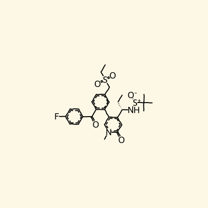 CC[C@H](N[S@@+]([O-])C(C)(C)C)c1cc(=O)n(C)cc1-c1cc(CS(=O)(=O)CC)ccc1C(=O)c1ccc(F)cc1